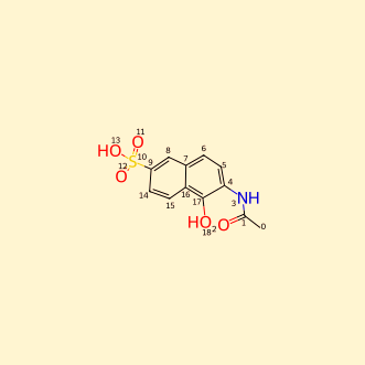 CC(=O)Nc1ccc2cc(S(=O)(=O)O)ccc2c1O